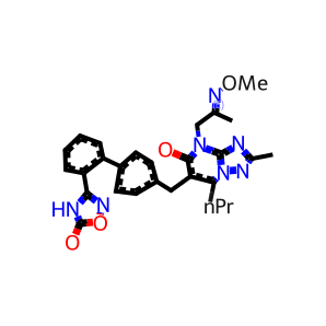 CCCc1c(Cc2ccc(-c3ccccc3-c3noc(=O)[nH]3)cc2)c(=O)n(C/C(C)=N/OC)c2nc(C)nn12